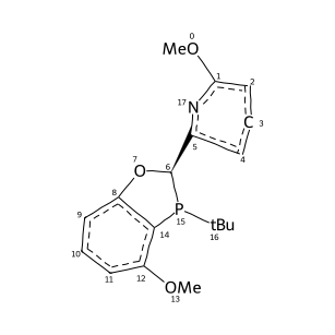 COc1cccc([C@@H]2Oc3cccc(OC)c3P2C(C)(C)C)n1